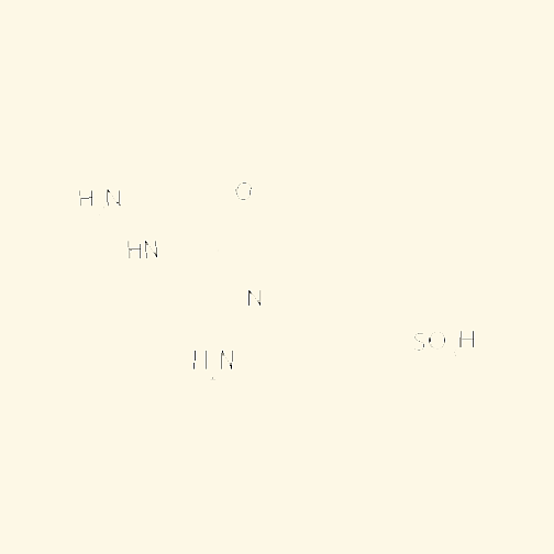 NNC(=O)N(N)CCS(=O)(=O)O